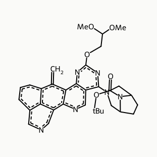 C=c1c2cccc3cncc(c4ncc5c(N6CC7CCC(C6)N7C(=O)OC(C)(C)C)nc(OCC(OC)OC)nc5c14)c32